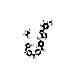 C[N+]1(CC2CCNC2)CCC(C(=O)N2CCN(C(=O)c3ccc(Nc4nccn5c(-c6ccc(OC(F)F)c(F)c6F)cnc45)cc3F)CC2)CC1.O=C([O-])C(F)(F)F